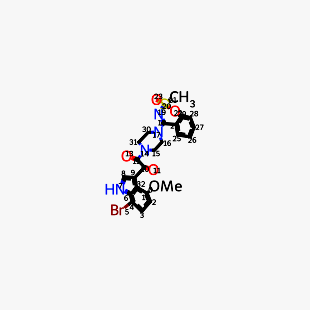 COc1ccc(Br)c2[nH]cc(C(=O)C(=O)N3CCN(/C(=N/S(C)(=O)=O)c4ccccc4)CC3)c12